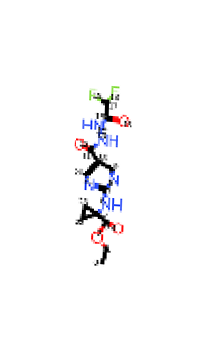 CCOC(=O)C1(Nc2ncc(C(=O)NNC(=O)C(F)F)cn2)CC1